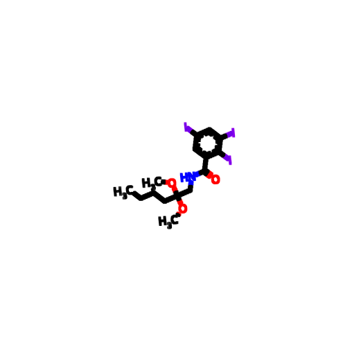 CCCCC(CNC(=O)c1cc(I)cc(I)c1I)(OC)OC